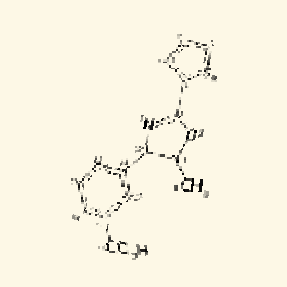 CN1OC(c2cccs2)=NC1c1cccc(C(=O)O)c1